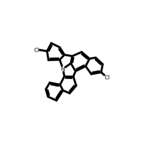 Clc1ccc2cc3c4ccc(Cl)cc4n4c5c6ccccc6ccc5c(c2c1)c34